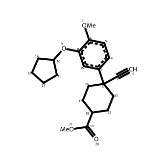 C#CC1(c2ccc(OC)c(OC3CCCC3)c2)CCC(C(=O)OC)CC1